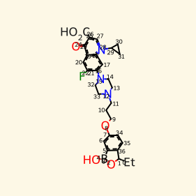 CCC1OB(O)c2cc(OCCCN3CCN(c4cc5c(cc4F)c(=O)c(C(=O)O)cn5C4CC4)CC3)ccc21